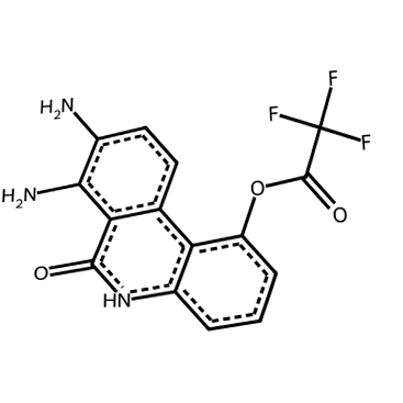 Nc1ccc2c(c1N)c(=O)[nH]c1cccc(OC(=O)C(F)(F)F)c12